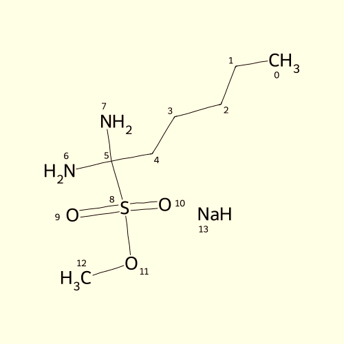 CCCCCC(N)(N)S(=O)(=O)OC.[NaH]